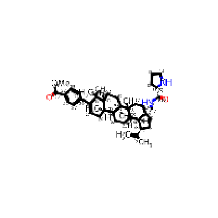 C=C(C)[C@@H]1CC[C@]2(CNC(=O)[C@@H]3CCCN3)CC[C@]3(C)[C@H](CC[C@@H]4[C@@]5(C)CC=C(c6ccc(C(=O)OC)cc6)C(C)(C)[C@@H]5CC[C@]43C)[C@@H]12